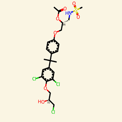 CC(=O)O[C@H](CNS(C)(=O)=O)COc1ccc(C(C)(C)c2cc(Cl)c(OC[C@H](O)CCl)c(Cl)c2)cc1